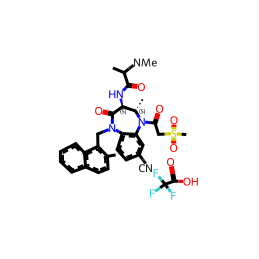 CNC(C)C(=O)N[C@@H]1C(=O)N(Cc2c(C)ccc3ccccc23)c2ccc(C#N)cc2N(C(=O)CS(C)(=O)=O)[C@H]1C.O=C(O)C(F)(F)F